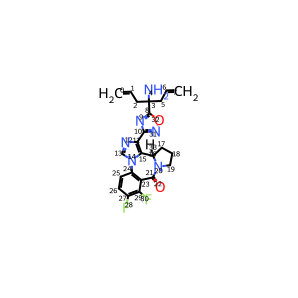 C=CCC(N)(CC=C)c1nc(-c2ncn3c2[C@@H]2CCCN2C(=O)c2c-3ccc(F)c2F)no1